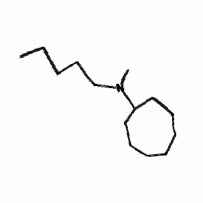 CCCCCN(C)C1CCCCCCC1